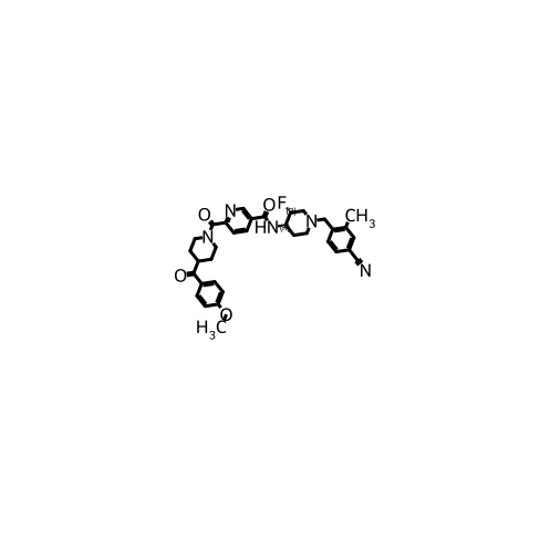 COc1ccc(C(=O)C2CCN(C(=O)c3ccc(C(=O)N[C@@H]4CCN(Cc5ccc(C#N)cc5C)C[C@H]4F)cn3)CC2)cc1